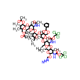 CCC1O[C@H](O[C@@H]2C(C)[C@H](O[C@@H]3C(CC)O[C@@H](O[C@@H]4C(CC)O[C@@H](OCN=[N+]=[N-])C(NC(=O)OCC(Cl)(Cl)Cl)[C@@H]4C)C(NC(=O)OCC(Cl)(Cl)Cl)[C@H]3C)OC3COC(c4ccccc4)O[C@H]32)C(O[C@@H]2OC(CC)[C@@H](O[C@@H]3OC(COC(C)=O)[C@H](C)[C@H](C)C3OC(C)=O)[C@H](C)C2NC(C)=O)[C@@H](C)[C@@H]1C